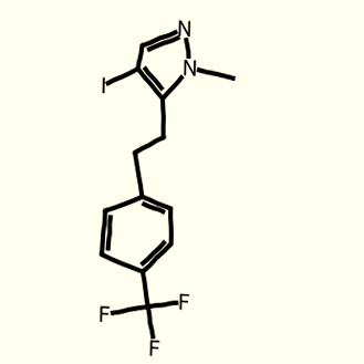 Cn1ncc(I)c1CCc1ccc(C(F)(F)F)cc1